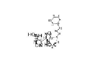 O=C(O)C[C@@H](CCCC1CCCCC1)c1nc(-c2nonc2NO)no1